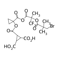 CC(C)(CBr)C(=O)OC(C)(C(=O)OC(=O)C1(OC(=O)C2C(C(=O)O)C2C(=O)O)CC1)C(F)(F)F